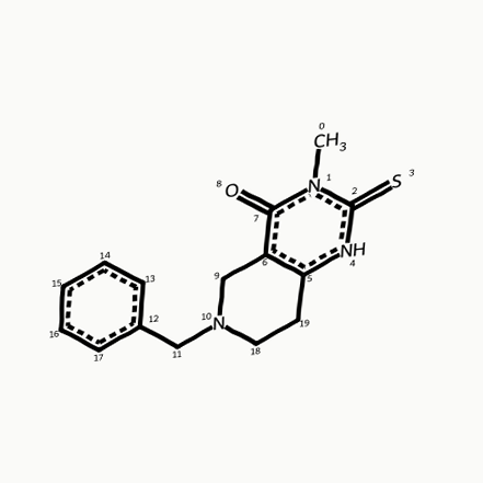 Cn1c(=S)[nH]c2c(c1=O)CN(Cc1ccccc1)CC2